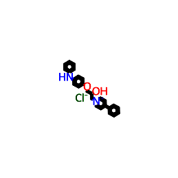 OC(COc1ccc(Nc2ccccc2)cc1)C[n+]1ccc(-c2ccccc2)cc1.[Cl-]